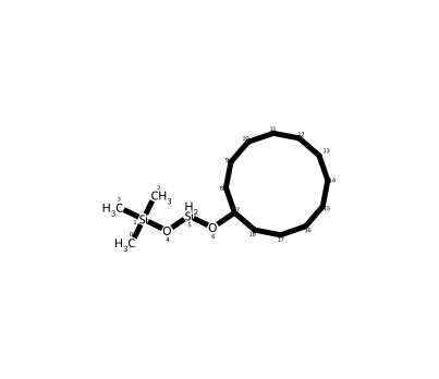 C[Si](C)(C)O[SiH2]OC1CCCCCCCCCCC1